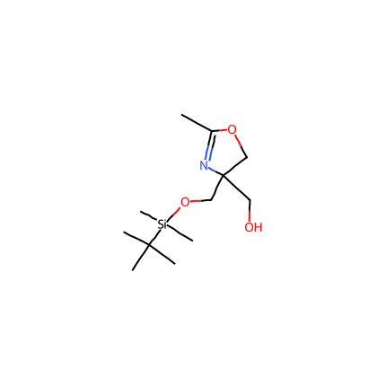 CC1=NC(CO)(CO[Si](C)(C)C(C)(C)C)CO1